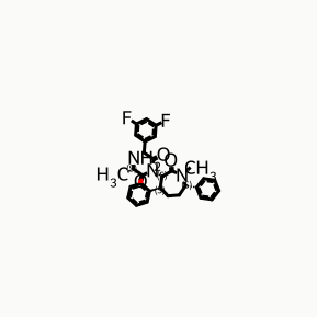 C[C@H](N)C(=O)N(C(=O)Cc1cc(F)cc(F)c1)[C@@H]1C(=O)N(C)[C@H](c2ccccc2)CC[C@H]1c1ccccc1